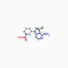 Nc1nccn2c(C3CCCN(C(=O)O)C3)nc(Br)c12